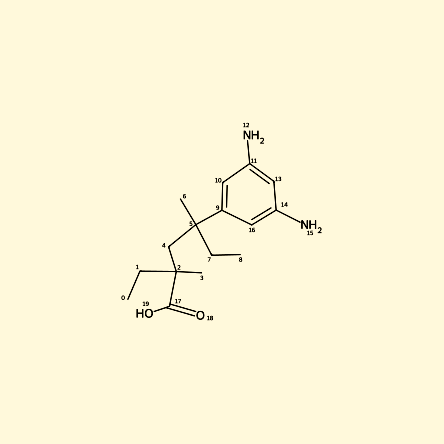 CCC(C)(CC(C)(CC)c1cc(N)cc(N)c1)C(=O)O